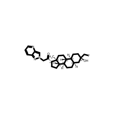 C[C@]12CC[C@H]3[C@@H](CC[C@@H]4C[C@@](O)(CF)CC[C@@H]43)[C@@H]1CC[C@@H]2C(=O)Cn1cc2ncccc2n1